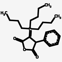 CCCCP(CCCC)(CCCC)=C1C(=O)OC(=O)C1c1ccccc1